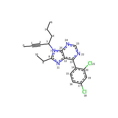 CC#CC(CCC)n1c(CC)nc2c(-c3ccc(Cl)cc3Cl)ncnc21